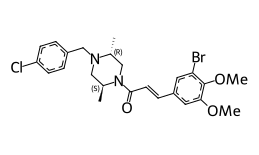 COc1cc(C=CC(=O)N2C[C@@H](C)N(Cc3ccc(Cl)cc3)C[C@@H]2C)cc(Br)c1OC